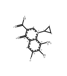 CCC(=O)c1cn(C2CC2)c2c(C)c(CC)c(F)cc2c1=O